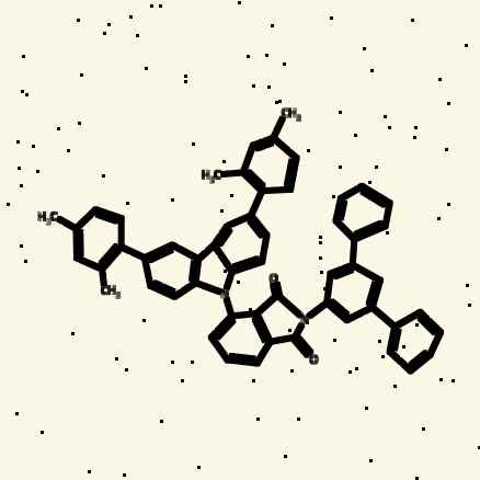 Cc1ccc(-c2ccc3c(c2)c2cc(-c4ccc(C)cc4C)ccc2n3-c2cccc3c2C(=O)N(c2cc(-c4ccccc4)cc(-c4ccccc4)c2)C3=O)c(C)c1